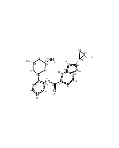 C[C@@H]1C[C@H](N)CN(c2ccncc2NC(=O)c2ccc3cc([C@@H]4C[C@@H]4C)oc3n2)C1